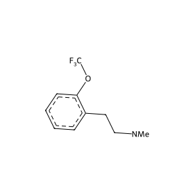 CNCCc1ccccc1OC(F)(F)F